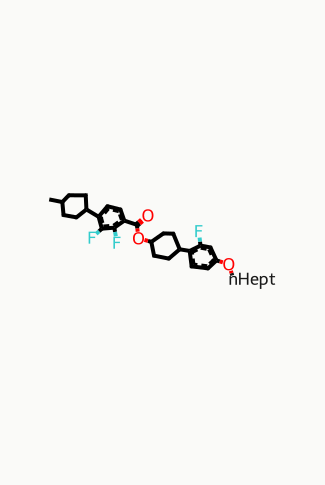 CCCCCCCOc1ccc(C2CCC(OC(=O)c3ccc(C4CCC(C)CC4)c(F)c3F)CC2)c(F)c1